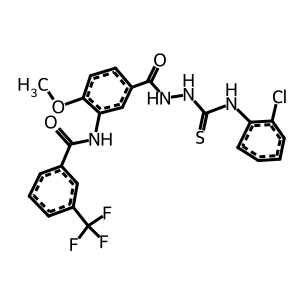 COc1ccc(C(=O)NNC(=S)Nc2ccccc2Cl)cc1NC(=O)c1cccc(C(F)(F)F)c1